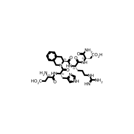 N=C(N)NCCC[C@H](NC(=O)[C@@H]1Cc2ccccc2CN1C(=O)[C@H](Cc1c[nH]cn1)NC(=O)[C@@H](N)CC(=O)O)C(=O)N[C@@H](CC(=O)O)C(N)=O